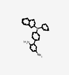 Nc1ccc(N)c(-c2ccc(N(c3ccccc3)c3ccc4ccccc4c3)cc2)c1